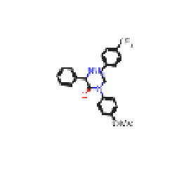 COc1ccc(N(CCc2ccc(C(F)(F)F)cc2)C(=O)C(N)c2ccccc2)cc1